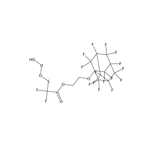 O=C(OCCOC12C(F)(F)C3(F)C(F)(F)C(F)(C(F)(F)C(F)(C3(F)F)C1(F)F)C2(F)F)C(F)(F)SOOO